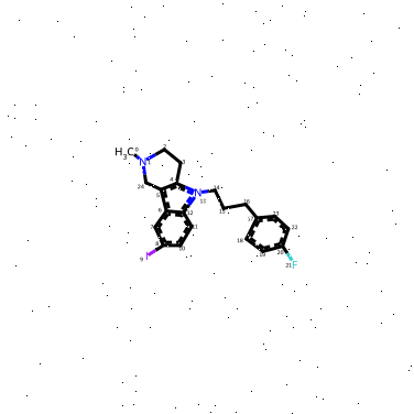 CN1CCc2c(c3cc(I)ccc3n2CCCc2ccc(F)cc2)C1